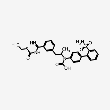 CCSC(=O)NC(=N)c1cccc(CC(C)N(C(=O)O)c2ccc(-c3ccccc3S(N)(=O)=O)cc2)c1